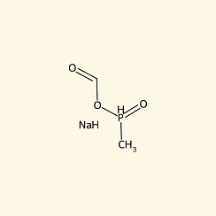 C[PH](=O)OC=O.[NaH]